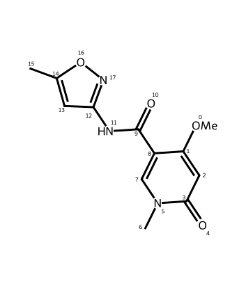 COc1cc(=O)n(C)cc1C(=O)Nc1cc(C)on1